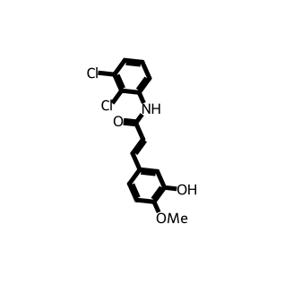 COc1ccc(C=CC(=O)Nc2cccc(Cl)c2Cl)cc1O